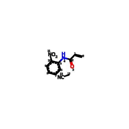 C=CC(=O)Nc1ccccc1[N+](=O)[O-].CC#N